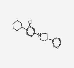 Clc1cc(N2CCC(c3ccccc3)CC2)ccc1C1CCCCC1